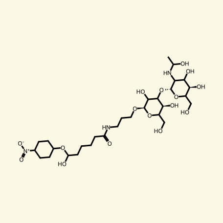 CC(O)NC1C(O)[C@@H](O)C(CO)O[C@@H]1OC1C(O)[C@H](OCCCNC(=O)CCCCC(O)OC2CCC([N+](=O)[O-])CC2)OC(CO)[C@@H]1O